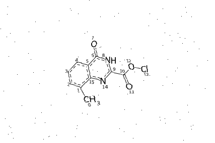 Cc1cccc2c(=O)[nH]c(C(=O)OCl)nc12